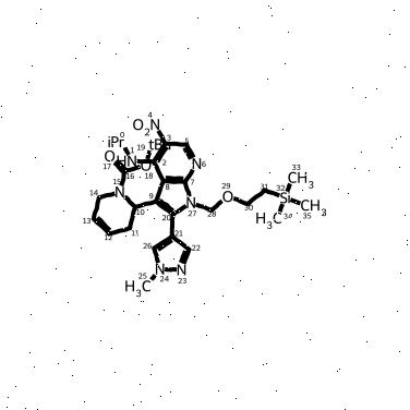 CC(C)Nc1c([N+](=O)[O-])cnc2c1c(C1CC=CCN1C(=O)OC(C)(C)C)c(-c1cnn(C)c1)n2COCC[Si](C)(C)C